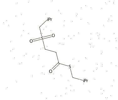 CC(C)CSC(=O)CCS(=O)(=O)CC(C)C